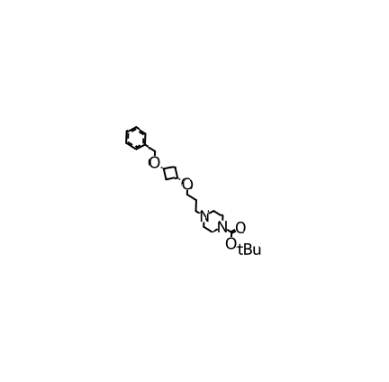 CC(C)(C)OC(=O)N1CCN(CCCO[C@H]2C[C@@H](OCc3ccccc3)C2)CC1